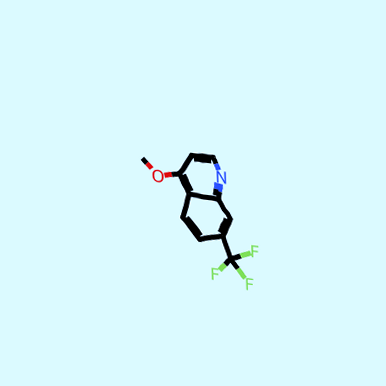 COc1ccnc2cc(C(F)(F)F)ccc12